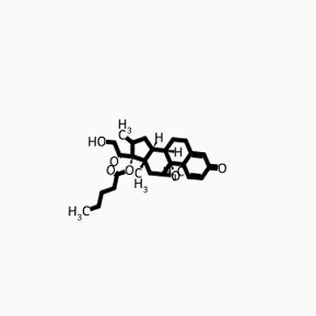 CCCCC(=O)O[C@]1(C(=O)CO)C(C)C[C@H]2[C@@H]3CCC4=CC(=O)C=C[C@]4(C)[C@]34OC4C[C@@]21C